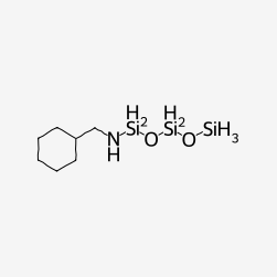 [SiH3]O[SiH2]O[SiH2]NCC1CCCCC1